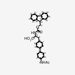 CC(=O)Nc1ccc(-c2ccc(CC(NC(=O)OCC3c4ccccc4-c4ccccc43)C(=O)O)cc2)cc1